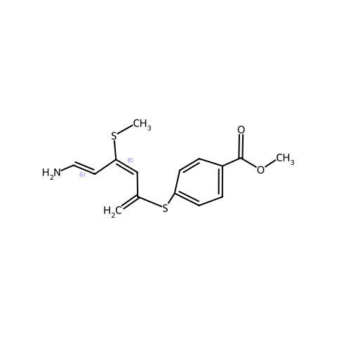 C=C(/C=C(\C=C\N)SC)Sc1ccc(C(=O)OC)cc1